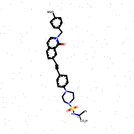 COc1ccc(Cn2ccc3ccc(C#Cc4ccc(N5CCN(S(=O)(=O)N[C@H](C(=O)O)C(C)C)CC5)cc4)cc3c2=O)cc1